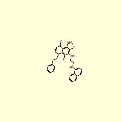 Nc1c(F)c(NCCNc2cccc3ccccc23)c(F)c2c1c(=O)ccn2CCc1ccccc1